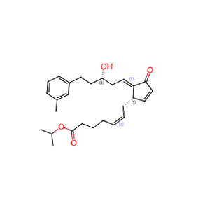 Cc1cccc(CC[C@H](O)C/C=C2/C(=O)C=C[C@@H]2C/C=C\CCCC(=O)OC(C)C)c1